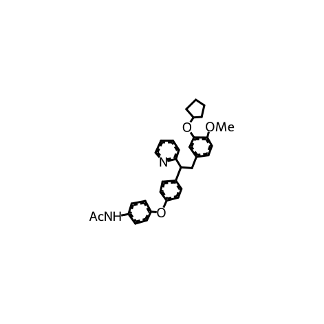 COc1ccc(CC(c2ccc(Oc3ccc(NC(C)=O)cc3)cc2)c2ccccn2)cc1OC1CCCC1